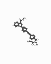 CC(C)CC(C(=O)O)N(C)C(=O)c1ccc(C#Cc2ccc(-c3cc(C(=O)NN)c4cnccc4n3)cc2)cc1